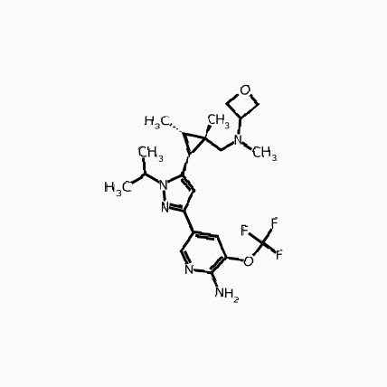 CC(C)n1nc(-c2cnc(N)c(OC(F)(F)F)c2)cc1[C@H]1[C@H](C)[C@]1(C)CN(C)C1COC1